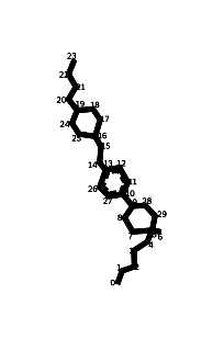 CCCCCC1(C)CCC(c2ccc(CCC3CCC(CCCC)CC3)cc2)CC1